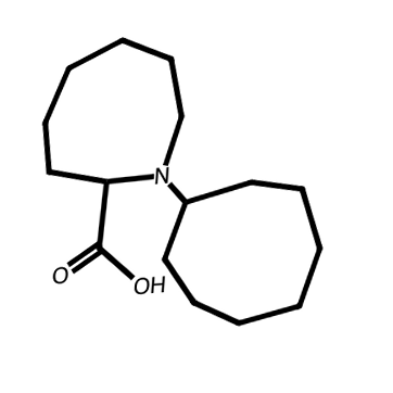 O=C(O)C1CCCCCCN1C1CCCCCCC1